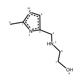 Cc1nc(CNCCO)cs1